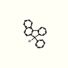 BrC1(c2ccccc2)c2ccccc2-c2c1ccc1ccccc21